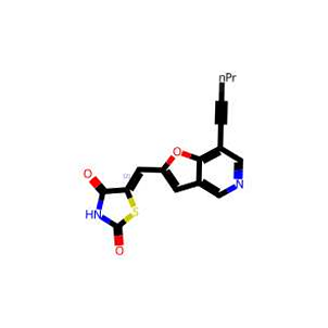 CCCC#Cc1cncc2cc(/C=C3\SC(=O)NC3=O)oc12